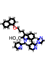 Cc1ccnc(-n2ccnc2)c1-c1cccc2c(CCCOc3cccc4ccccc34)c(C(=O)O)n(Cc3ccccn3)c12